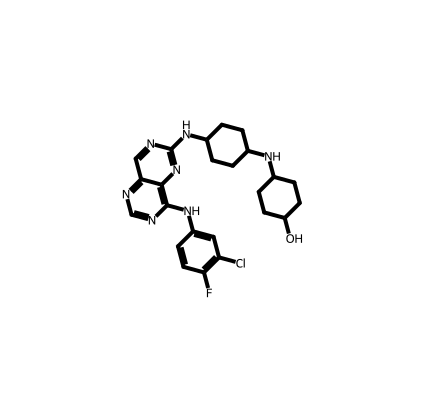 OC1CCC(NC2CCC(Nc3ncc4ncnc(Nc5ccc(F)c(Cl)c5)c4n3)CC2)CC1